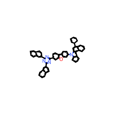 C1=CCC(c2cc3c(c4ccccc24)c2ccccc2n3-c2ccc3c(c2)oc2cc(-c4nc(-c5ccc6ccccc6c5)nc(-c5ccc6ccccc6c5)n4)ccc23)C=C1